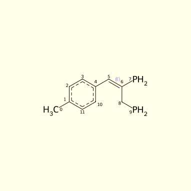 Cc1ccc(/C=C(/P)CP)cc1